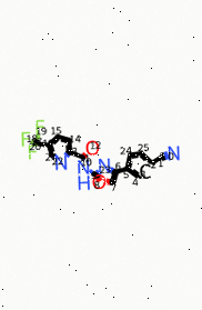 N#Cc1ccc(-c2coc(NC(=O)c3ccc(C(F)(F)F)cn3)n2)cc1